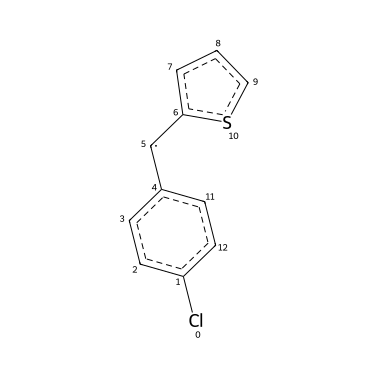 Clc1ccc([CH]c2cccs2)cc1